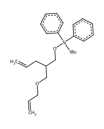 C=CCOCC(CC=C)CO[Si](c1ccccc1)(c1ccccc1)C(C)(C)C